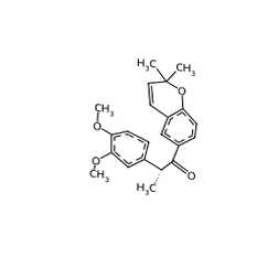 COc1ccc([C@@H](C)C(=O)c2ccc3c(c2)C=CC(C)(C)O3)cc1OC